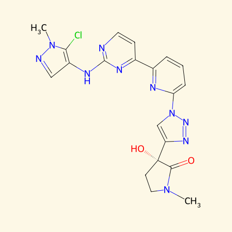 CN1CC[C@@](O)(c2cn(-c3cccc(-c4ccnc(Nc5cnn(C)c5Cl)n4)n3)nn2)C1=O